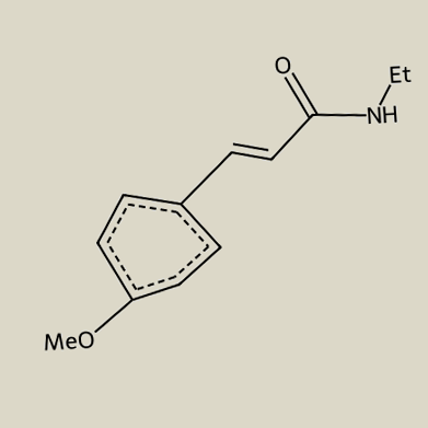 CCNC(=O)C=Cc1ccc(OC)cc1